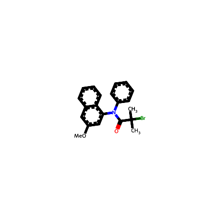 COc1cc(N(C(=O)C(C)(C)Br)c2ccccc2)c2ccccc2c1